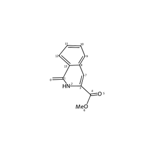 C=C1NC(C(=O)OC)=Cc2ccccc21